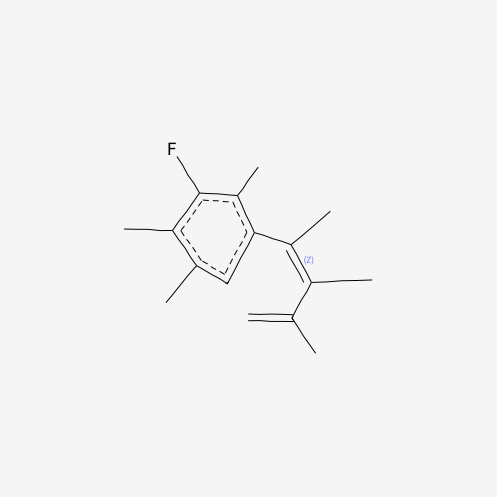 C=C(C)/C(C)=C(/C)c1cc(C)c(C)c(F)c1C